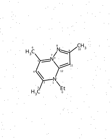 CCn1c(C)cc(C)[n+]2nc(C)cc1-2